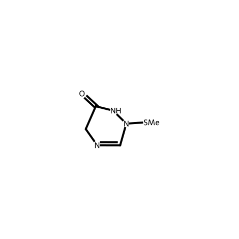 CSN1C=NCC(=O)N1